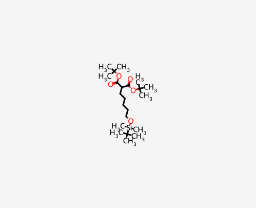 CC(C)(C)OC(=O)C(CCCCCO[Si](C)(C)C(C)(C)C)C(=O)OC(C)(C)C